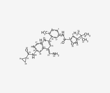 Cc1ccc(NC(=O)c2cc(C(C)(C)C)no2)cc1/C(N)=C/C(=C\N)c1ccnc(NC(=O)C2CC2)c1